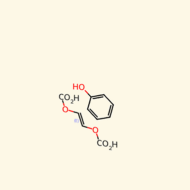 O=C(O)O/C=C/OC(=O)O.Oc1ccccc1